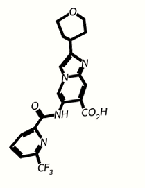 O=C(Nc1cn2cc(C3CCOCC3)nc2cc1C(=O)O)c1cccc(C(F)(F)F)n1